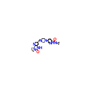 O=C(NC1CC1)c1ccc(N2CCN(Cc3cnc4c(c3)NC(=O)N3CCCC43)CC2)cn1